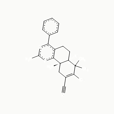 Cc1nc(-c2ccccc2)c2c(n1)[C@@]1(C)CC(C#N)=C(O)C(C)(C)[C@@H]1CC2